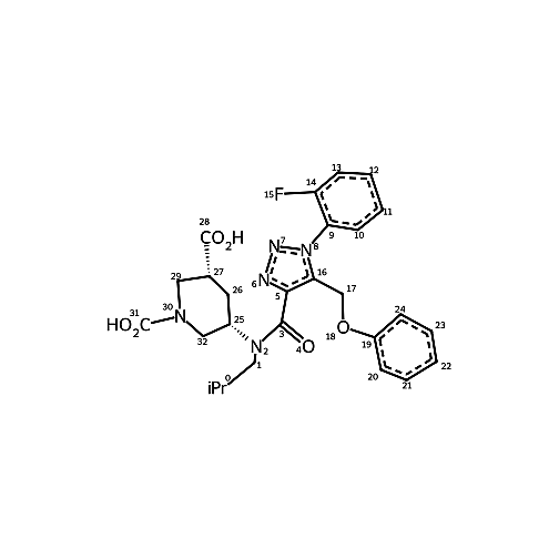 CC(C)CN(C(=O)c1nnn(-c2ccccc2F)c1COc1ccccc1)[C@H]1C[C@@H](C(=O)O)CN(C(=O)O)C1